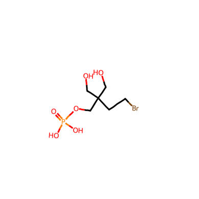 O=P(O)(O)OCC(CO)(CO)CCBr